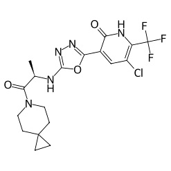 C[C@@H](Nc1nnc(-c2cc(Cl)c(C(F)(F)F)[nH]c2=O)o1)C(=O)N1CCC2(CC1)CC2